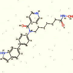 O=C(CCCCCCN(C(=O)c1ccncc1)c1ccc(-c2ccc3cc[nH]c3c2)cc1)NO